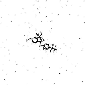 CCS(=O)(=O)c1cc(CF)ccc1C(=O)N(C)c1ccc(C(F)(F)C(F)(F)F)cn1